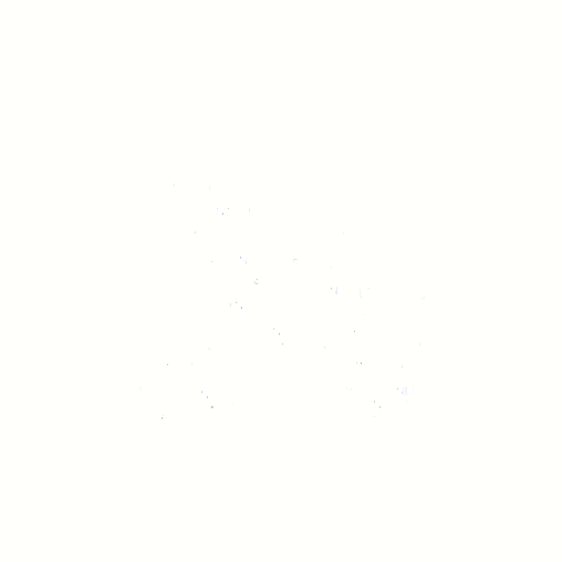 C=CC(=O)N1CCN(c2nc(OCC3COCCN3C)nc3c(Oc4c(Cl)c(F)cc5[nH]ncc45)nc(Cl)cc23)CC1